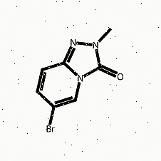 Cn1nc2ccc(Br)cn2c1=O